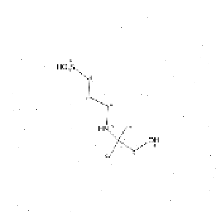 CC(C)(CO)NCCCS(=O)(=O)O